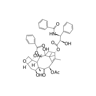 CC(=O)O[C@H]1C(=O)[C@@]2(C)[C@H]([C@H](OC(=O)c3ccccc3)C3(O)C[C@H](OC(=O)[C@H](O)[C@@H](NC(=O)c4ccccc4)c4ccccc4)C(C)=C1C3(C)C)[C@]1(OC(C)=O)CO[C@@H]1C[C@@H]2O